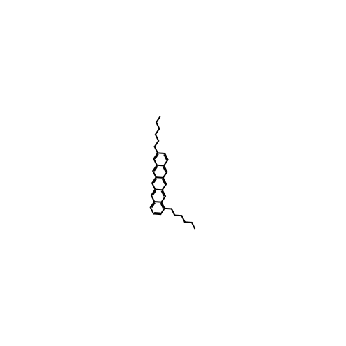 CCCCCCc1ccc2cc3cc4cc5c(CCCCCC)cccc5cc4cc3cc2c1